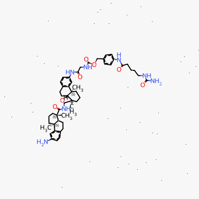 C[C@]1(C(=O)NC(=O)[C@@]2(C)CCC[C@]3(C)c4cc(NC(=O)CNC(=O)OCc5ccc(NC(=O)CCCCNC(N)=O)cc5)ccc4CC[C@@H]23)CCC[C@]2(C)c3cc(N)ccc3CCC12